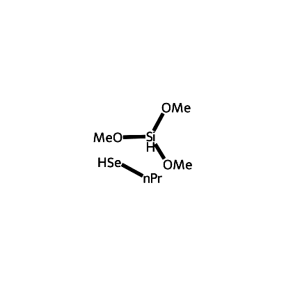 CCC[SeH].CO[SiH](OC)OC